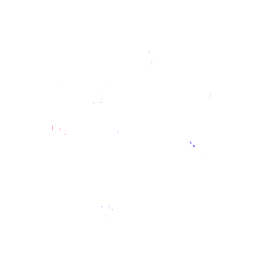 C=CCC(C(=O)O)N(CCN)CCN.[Na]